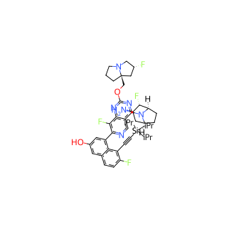 CC(C)[Si](C#Cc1c(F)ccc2cc(O)cc(-c3ncc4c(N5[C@H]6CC[C@@H]5[C@@H](F)[C@H](N)C6)nc(OC[C@@]56CCCN5C[C@H](F)C6)nc4c3F)c12)(C(C)C)C(C)C